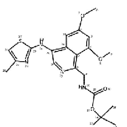 COc1cc(OC)c2c(CNC(=O)OC(C)(C)C)ncc(Nc3nc(C)cs3)c2c1